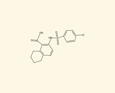 O=C(O)c1c(NS(=O)(=O)c2ccc(Cl)cc2)ccc2c1CCCC2